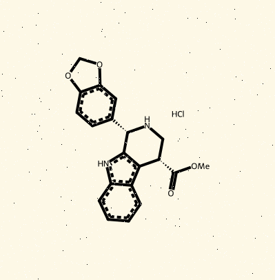 COC(=O)[C@H]1CN[C@@H](c2ccc3c(c2)OCO3)c2[nH]c3ccccc3c21.Cl